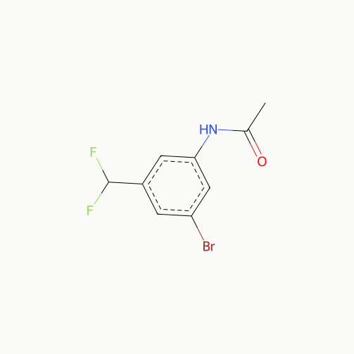 CC(=O)Nc1cc(Br)cc(C(F)F)c1